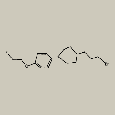 FCCOc1ccc([C@H]2CC[C@H](CCCBr)CC2)cc1